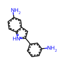 Nc1cccc(-c2cc3cc(N)ccc3[nH]2)c1